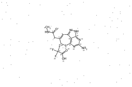 CNC(=O)CC1=Cc2n[nH]c3nc(N)nc(c23)SC1.O=C(O)C(F)(F)F